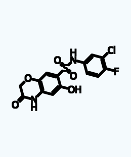 O=C1COc2cc(S(=O)(=O)Nc3ccc(F)c(Cl)c3)c(O)cc2N1